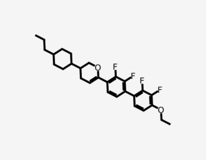 CCCC1CCC(C2CC=C(c3ccc(-c4ccc(OCC)c(F)c4F)c(F)c3F)OC2)CC1